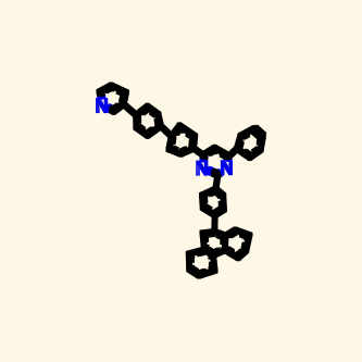 c1ccc(-c2cc(-c3ccc(-c4ccc(-c5cccnc5)cc4)cc3)nc(-c3ccc(-c4cc5ccccc5c5ccccc45)cc3)n2)cc#1